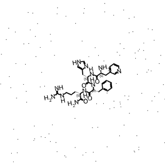 N=C(N)NCCC[C@H](NC(=O)[C@@H](Cc1ccccc1)NC(=O)[C@H](Cc1c[nH]cn1)NC(=O)[C@@H](N)Cc1cccnc1)C(N)=O